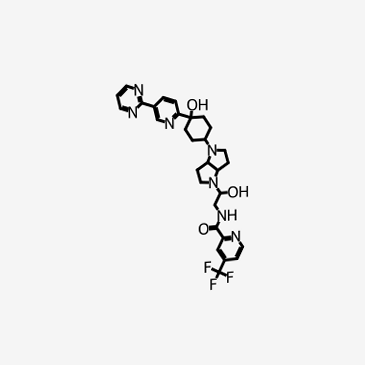 O=C(NCC(O)N1CCC2C1CCN2C1CCC(O)(c2ccc(-c3ncccn3)cn2)CC1)c1cc(C(F)(F)F)ccn1